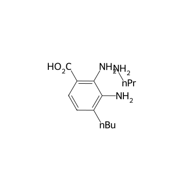 CCCCc1ccc(C(=O)O)c(N)c1N.CCCN